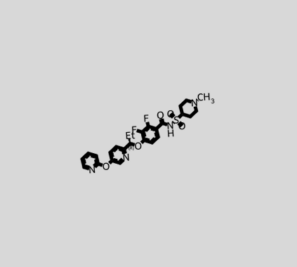 CC[C@@H](Oc1ccc(C(=O)NS(=O)(=O)C2CCN(C)CC2)c(F)c1F)c1ccc(Oc2ccccn2)cn1